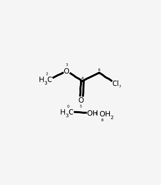 CO.COC(=O)CCl.O